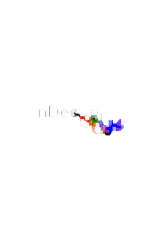 CCCCCCCCCCCCCCOc1ccc(CC(=O)Nc2ccccc2C[n+]2cscc2C)c(Cl)c1.[Br-]